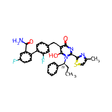 CC[C@@H](c1ccccc1)n1c(-c2nc(C)cs2)nc(=O)c(Cc2ccc(-c3ccc(F)cc3C(N)=O)c(F)c2)c1O